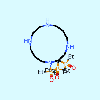 CCP(=O)(CC)N1CCCNCCNCCCNCC1(P(=O)(CC)CC)P(=O)(CC)CC